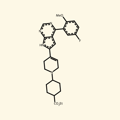 CCOC(=O)C1CCC(N2CC=C(c3cc4c(-c5cc(F)ccc5OC)ncnc4[nH]3)CC2)CC1